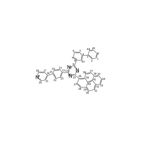 c1ccc(-c2cccc(-c3nc(-c4ccc(-c5ccncc5)cc4)nc(-c4ccc5ccc6cccc7ccc4c5c67)n3)c2)cc1